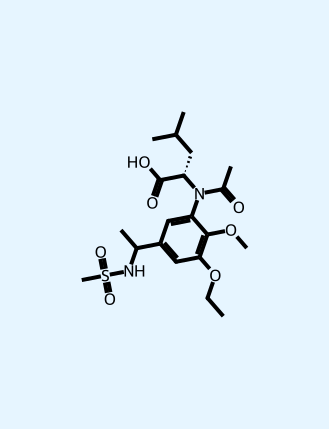 CCOc1cc(C(C)NS(C)(=O)=O)cc(N(C(C)=O)[C@@H](CC(C)C)C(=O)O)c1OC